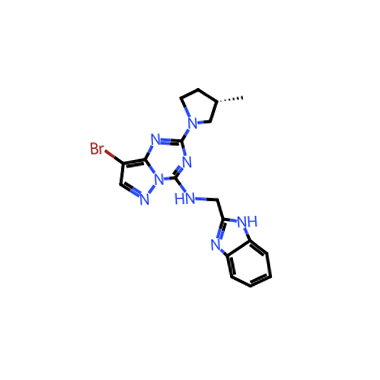 C[C@H]1CCN(c2nc(NCc3nc4ccccc4[nH]3)n3ncc(Br)c3n2)C1